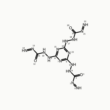 N=NC(=O)NNc1nc(NNC(=O)N=N)nc(NNC(=O)N=N)n1